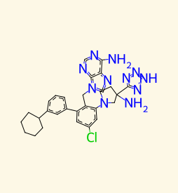 Nc1ncnc2c1ncn2Cc1c(-c2cccc(C3CCCCC3)c2)cc(Cl)cc1N1CCC(N)(c2nn[nH]n2)C1